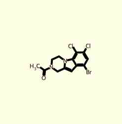 CC(=O)N1CCn2c(cc3c(Br)cc(Cl)c(Cl)c32)C1